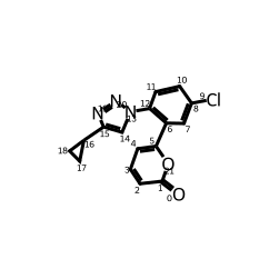 O=c1cccc(-c2cc(Cl)ccc2-n2cc(C3CC3)nn2)o1